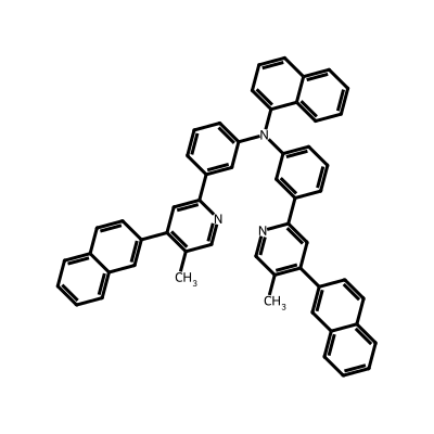 Cc1cnc(-c2cccc(N(c3cccc(-c4cc(-c5ccc6ccccc6c5)c(C)cn4)c3)c3cccc4ccccc34)c2)cc1-c1ccc2ccccc2c1